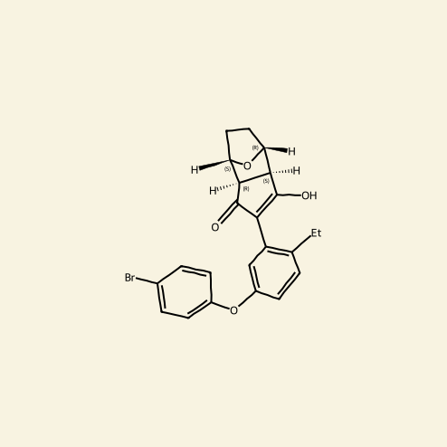 CCc1ccc(Oc2ccc(Br)cc2)cc1C1=C(O)[C@H]2[C@@H](C1=O)[C@@H]1CC[C@H]2O1